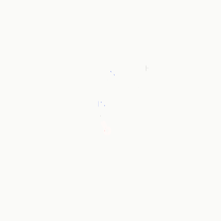 Nc1cc(-c2ccccc2C(F)(F)F)ccc1NC(=O)C=CC1CCSCC1